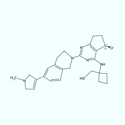 CN1CC=C(c2ccc3c(c2)CCN(c2nc4c(c(NC5(CO)CCC5)n2)[S@+]([O-])CC4)C3)C1